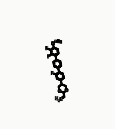 C=CC1OCC(c2ccc(-c3ccc(-c4ccc(OCCCC)c(F)c4F)cc3)c(F)c2)CO1